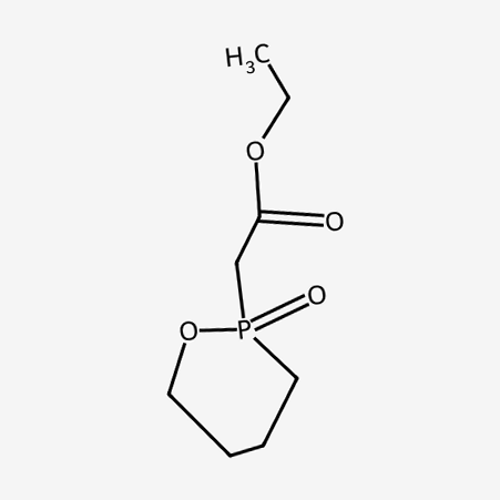 CCOC(=O)CP1(=O)CCCCO1